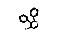 ClC1=C(c2ccccc2)C(c2ccccc2)OC=C1